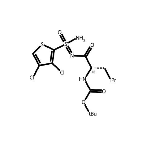 CC(C)C[C@H](NC(=O)OC(C)(C)C)C(=O)N=S(N)(=O)c1scc(Cl)c1Cl